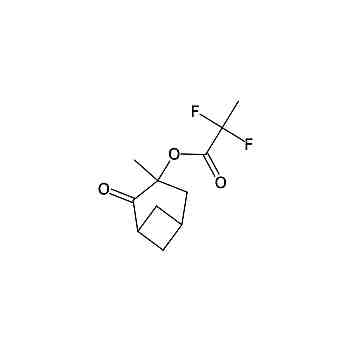 CC(F)(F)C(=O)OC1(C)CC2CC(C2)C1=O